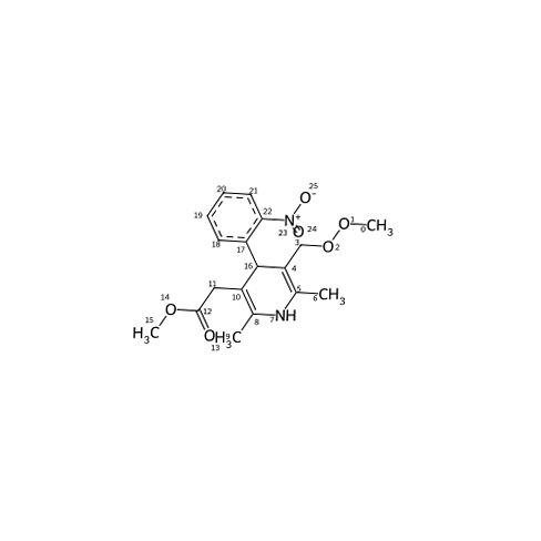 COOCC1=C(C)NC(C)=C(CC(=O)OC)C1c1ccccc1[N+](=O)[O-]